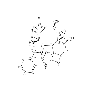 CC(=O)O[C@@]12COC1C[C@H](O)[C@@]1(C)C(=O)[C@H](O)C3=C(C)CC[C@@](O)([C@@H](OC(=O)c4ccccc4)C21)C3(C)C